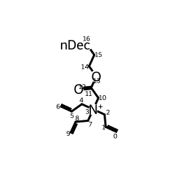 C=CC[N+](CC=C)(CC=C)CC(=O)OCCCCCCCCCCCC